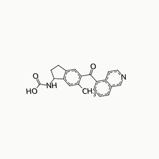 Cc1cc2c(cc1C(=O)c1cccc3cnccc13)CCC2NC(=O)O